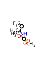 CC1(C)C(NC(=O)c2ccc(S(C)(=O)=O)cc2)C1c1cccc(C(F)(F)F)c1